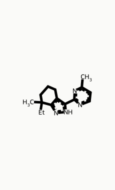 CCC1(C)CCCc2c1n[nH]c2-c1nccc(C)n1